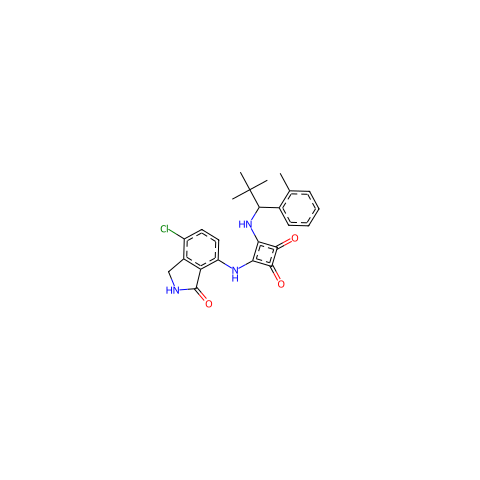 Cc1ccccc1C(Nc1c(Nc2ccc(Cl)c3c2C(=O)NC3)c(=O)c1=O)C(C)(C)C